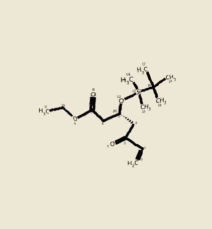 C=CC(=O)C[C@H](CC(=O)OCC)O[Si](C)(C)C(C)(C)C